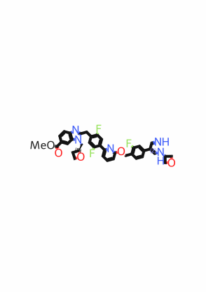 COC(=O)c1ccc2nc(Cc3cc(F)c(-c4cccc(OCc5ccc(/C(C=N)=C/NC6COC6)cc5F)n4)cc3F)n(C[C@@H]3CCO3)c2c1